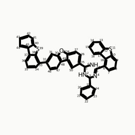 NC(NC(/N=C/c1cccc2sc3ccccc3c12)c1ccccc1)c1ccc2oc3cc(-c4cccc5c4sc4ccccc45)ccc3c2c1